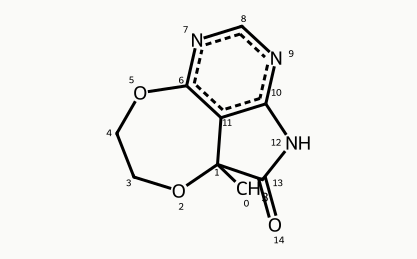 CC12OCCOc3ncnc(c31)NC2=O